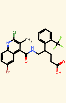 Cc1c(Cl)nc2ccc(Br)cc2c1C(=O)NCC(CCC(=O)O)c1ccccc1C(F)(F)F